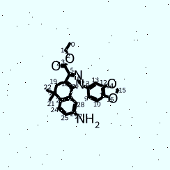 CCOC(=O)c1nn(-c2ccc3c(c2)OCO3)c2c1CC(C)(C)c1ccc(N)cc1-2